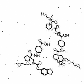 COCCOC[C@H](CC1(C(=O)N[C@H]2CC[C@@H](C(=O)O)CC2)CCCC1)C(=O)O.COCCOC[C@H](CC1(C(=O)N[C@H]2CC[C@@H](C(=O)O)CC2)CCCC1)C(=O)Oc1ccc2c(c1)CCC2.C[C@H](CS)C(=O)N1CCC[C@H]1C(=O)O